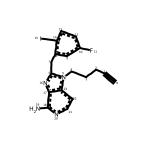 C#CCCCn1c(Cc2cc(F)ccc2I)nc2c(N)nccc21